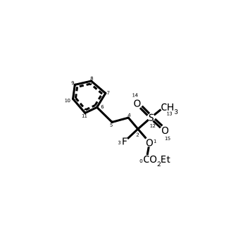 CCOC(=O)OC(F)(CCc1ccccc1)S(C)(=O)=O